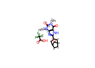 CCCn1c(=O)c2[nH]c(C3CC4CCC(C3)C4=O)nc2n(CCC)c1=O.O=C(O)C(F)(F)F